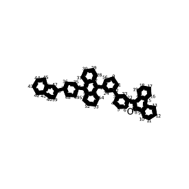 c1cc(-c2ccc3oc4c5ccccc5c5ccccc5c4c3c2)cc(-c2c3ccccc3c(-c3ccc(-c4ccc5ccccc5c4)cc3)c3ccccc23)c1